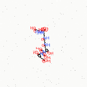 O=C(O)CCCNC(=O)N[C@@H](CCCCNC(=O)CCCCNC(=O)CCc1ccc(O)c(CN(CCN(CC(=O)O)Cc2cc(CCC(=O)O)ccc2O)CC(=O)O)c1)C(=O)O